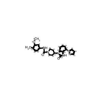 COc1cc(NC(=O)N2CCC(n3c(=O)[nH]c4c(-n5cccn5)cccc43)CC2)ccc1C